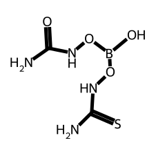 NC(=O)NOB(O)ONC(N)=S